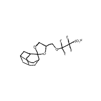 O=S(=O)(O)C(F)(F)C(F)(F)OCC1COC2(O1)C1CC3CC(C1)CC2C3